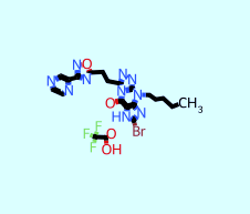 CCCCCn1c2nc(Br)[nH]c2c(=O)n2c(CCc3nc(-c4cnccn4)no3)nnc12.O=C(O)C(F)(F)F